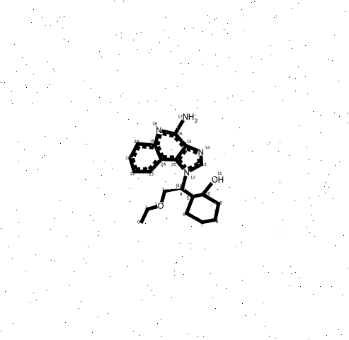 CCOC[C@H](C1CCCCC1O)n1cnc2c(N)nc3ccccc3c21